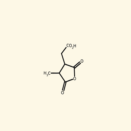 CC1C(=O)OC(=O)C1CC(=O)O